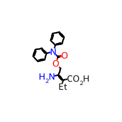 CCC(C(=O)O)=C(N)COC(=O)N(c1ccccc1)c1ccccc1